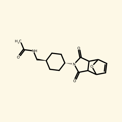 CC(=O)NC[C@H]1CC[C@H](N2C(=O)C3C4C=CC(O4)C3C2=O)CC1